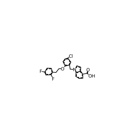 O=C(O)c1cccc2c1ccn2Cc1cc(Cl)ccc1OCCc1ccc(F)cc1F